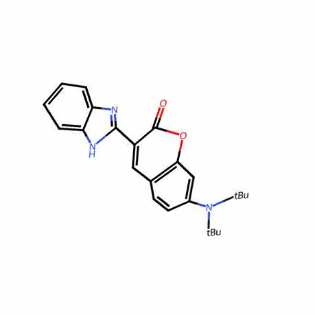 CC(C)(C)N(c1ccc2cc(-c3nc4ccccc4[nH]3)c(=O)oc2c1)C(C)(C)C